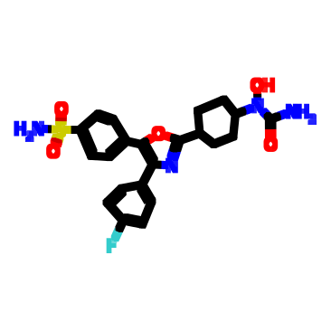 NC(=O)N(O)C1CCC(c2nc(-c3ccc(F)cc3)c(-c3ccc(S(N)(=O)=O)cc3)o2)CC1